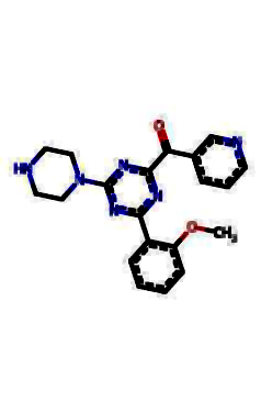 COc1ccccc1-c1nc(C(=O)c2cccnc2)nc(N2CCNCC2)n1